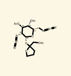 CC(=O)OCC1(O[C@H]2O[C@@H](CN=[N+]=[N-])[C@@H](OC(C)=O)[C@H](OC(C)=O)[C@H]2N=[N+]=[N-])CCCO1